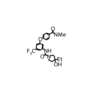 CCC1(O)CCN(C(=O)Nc2cc(Oc3ccc(C(=O)NC)cc3)cc(C(F)(F)F)c2)CC1